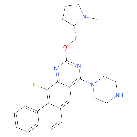 C=Cc1cc2c(N3CCNCC3)nc(OC[C@@H]3CCCN3C)nc2c(F)c1-c1ccccc1